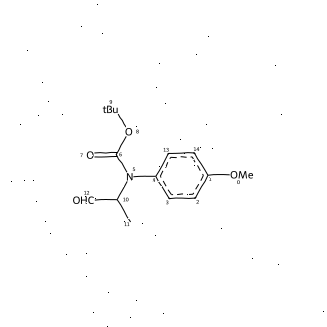 COc1ccc(N(C(=O)OC(C)(C)C)C(C)C=O)cc1